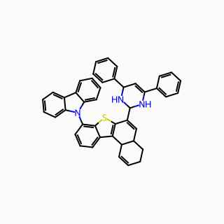 C1=CC2c3c(sc4c(-n5c6ccccc6c6ccccc65)cccc34)C(C3NC(c4ccccc4)=CC(c4ccccc4)N3)=CC2CC1